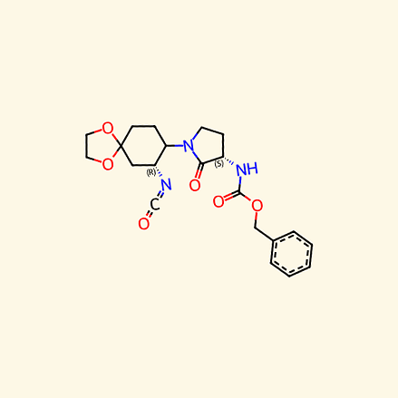 O=C=N[C@@H]1CC2(CCC1N1CC[C@H](NC(=O)OCc3ccccc3)C1=O)OCCO2